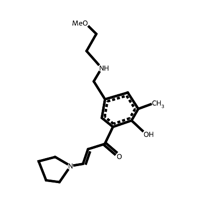 COCCNCc1cc(C)c(O)c(C(=O)C=CN2CCCC2)c1